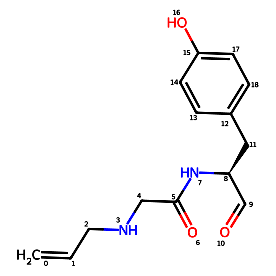 C=CCNCC(=O)N[C@H](C=O)Cc1ccc(O)cc1